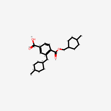 CC1CCC(COC(=O)c2ccc(C(=O)O)cc2CC2CCC(C)CC2)CC1